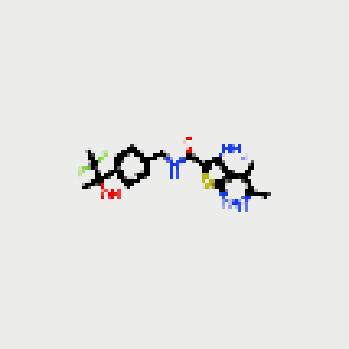 Cc1nnc2sc(C(=O)NCc3ccc(C(C)(O)C(C)(F)F)cc3)c(N)c2c1C